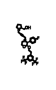 OC[C@@H]1CCCN1CC#CCN1CCO[C@@H](OCCc2cc(C(F)(F)F)cc(C(F)(F)F)c2)[C@@H]1c1ccc(F)cc1